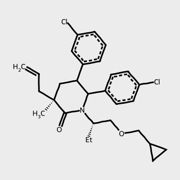 C=CC[C@@]1(C)CC(c2cccc(Cl)c2)C(c2ccc(Cl)cc2)N([C@@H](CC)COCC2CC2)C1=O